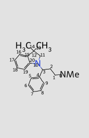 CNCCC(c1ccccc1)N1CC(C)(C)c2ccccc21